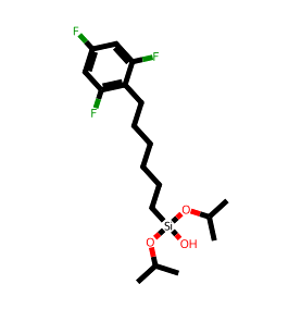 CC(C)O[Si](O)(CCCCCCc1c(F)cc(F)cc1F)OC(C)C